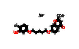 CC(=O)c1ccc(OCCCCCOc2ccc3c(=O)cc(C(=O)[O-])oc3c2)cc1O.[Na+]